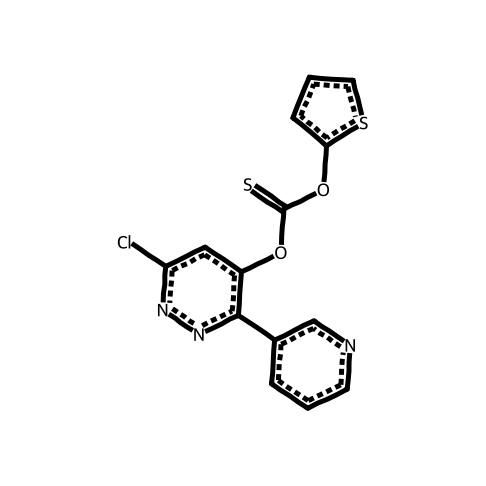 S=C(Oc1cccs1)Oc1cc(Cl)nnc1-c1cccnc1